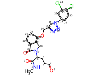 CNC(=O)C(CCC=O)N1Cc2c(OCc3cn(-c4ccc(Cl)c(Cl)c4)nn3)cccc2C1=O